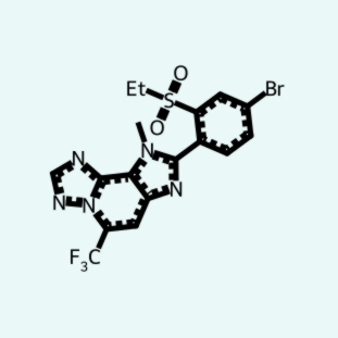 CCS(=O)(=O)c1cc(Br)ccc1-c1nc2cc(C(F)(F)F)n3ncnc3c2n1C